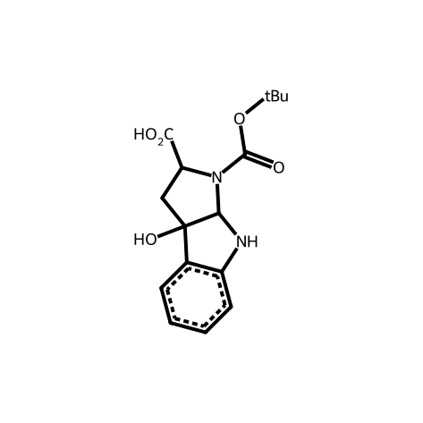 CC(C)(C)OC(=O)N1C(C(=O)O)CC2(O)c3ccccc3NC12